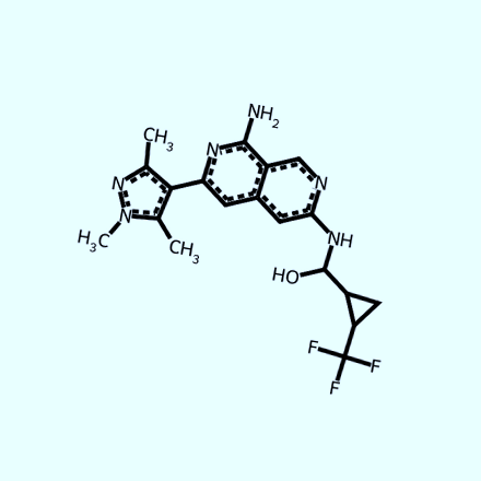 Cc1nn(C)c(C)c1-c1cc2cc(NC(O)C3CC3C(F)(F)F)ncc2c(N)n1